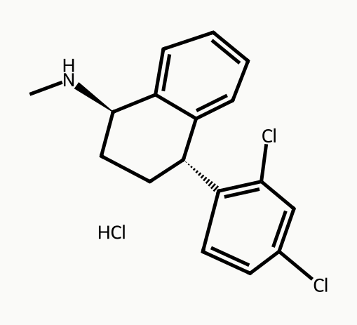 CN[C@@H]1CC[C@@H](c2ccc(Cl)cc2Cl)c2ccccc21.Cl